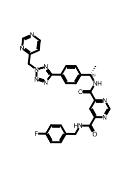 C[C@H](NC(=O)c1cc(C(=O)NCc2ccc(F)cc2)ncn1)c1ccc(-c2nnn(Cc3ccncn3)n2)cc1